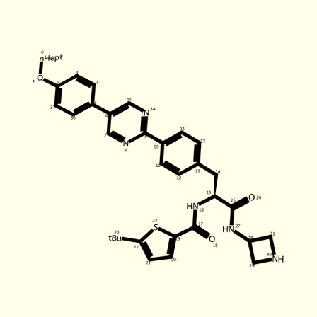 CCCCCCCOc1ccc(-c2cnc(-c3ccc(C[C@H](NC(=O)c4ccc(C(C)(C)C)s4)C(=O)NC4CNC4)cc3)nc2)cc1